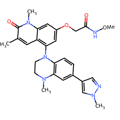 CONC(=O)COc1cc(N2CCN(C)c3cc(-c4cnn(C)c4)ccc32)c2cc(C)c(=O)n(C)c2c1